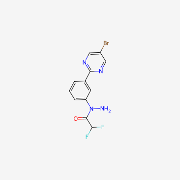 NN(C(=O)C(F)F)c1cccc(-c2ncc(Br)cn2)c1